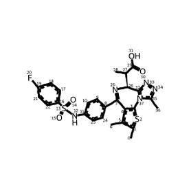 Cc1sc2c(c1C)C(c1ccc(NS(=O)(=O)c3ccc(F)cc3)cc1)=N[C@@H](C(C)C(=O)O)c1nnc(C)n1-2